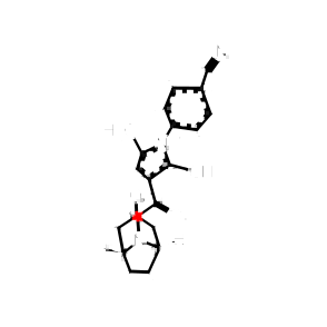 Cc1cc(C(=O)CN2[C@@H]3CC[C@@H]2CC(O)C3)c(C)n1-c1ccc(C#N)cc1